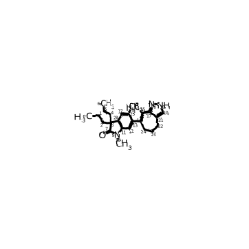 CCCC1(CCC)C(=O)N(C)c2cc(C3=C(C)c4n[nH]cc4CCC3)c(C)cc21